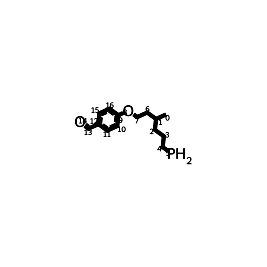 CC(CCCP)CCOc1ccc(C=O)cc1